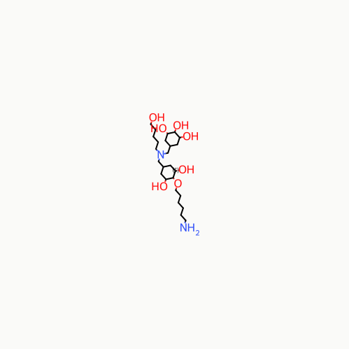 NCCCCCCOC1C(O)CC(CN(CCCCCO)CC2CC(O)C(O)C(O)C2)C[C@@H]1O